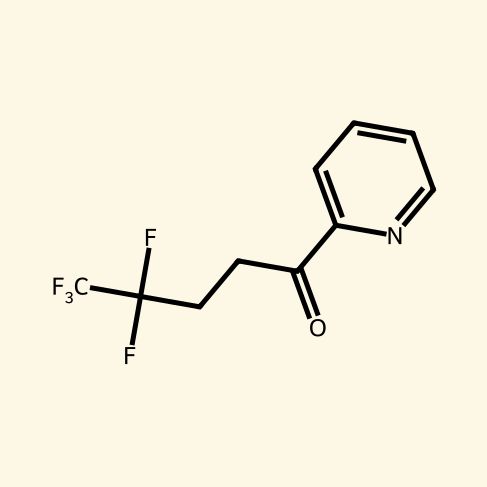 O=C(CCC(F)(F)C(F)(F)F)c1ccccn1